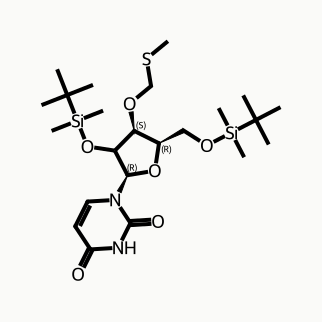 CSCO[C@@H]1C(O[Si](C)(C)C(C)(C)C)[C@H](n2ccc(=O)[nH]c2=O)O[C@@H]1CO[Si](C)(C)C(C)(C)C